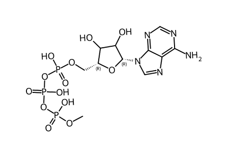 COP(=O)(O)OP(=O)(O)OP(=O)(O)OC[C@H]1O[C@@H](n2cnc3c(N)ncnc32)C(O)C1O